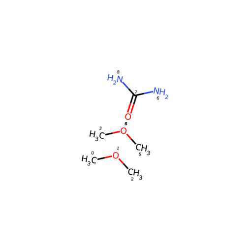 COC.COC.NC(N)=O